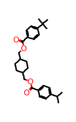 CC(C)c1ccc(C(=O)OCC2CCC(COC(=O)c3ccc(C(C)(C)C)cc3)CC2)cc1